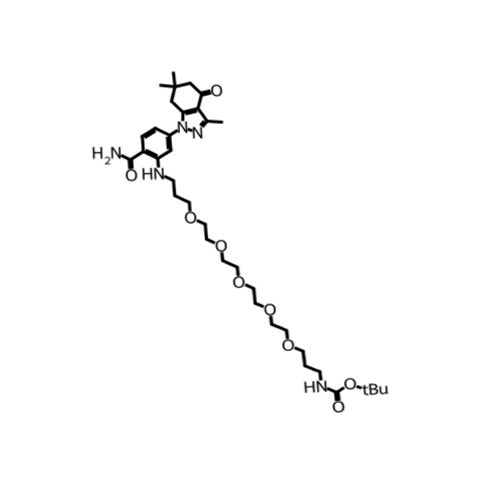 Cc1nn(-c2ccc(C(N)=O)c(NCCCOCCOCCOCCOCCOCCCNC(=O)OC(C)(C)C)c2)c2c1C(=O)CC(C)(C)C2